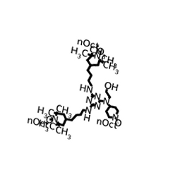 CCCCCCCCON1CCC(N(CCO)c2nc(NCCCCC3CC(C)(C)N(OCCCCCCCC)C(C)(C)C3)nc(NCCCCC3CC(C)(C)N(OCCCCCCCC)C(C)(C)C3)n2)CC1